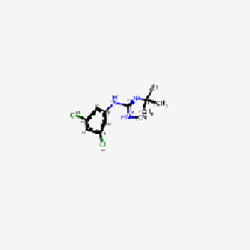 CCC(C)(C)/N=C(\NC#N)Nc1cc(Cl)cc(Cl)c1